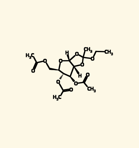 CCOC1(C)O[C@H]2O[C@H](COC(C)=O)[C@@H](OC(C)=O)[C@H](OC(C)=O)[C@H]2O1